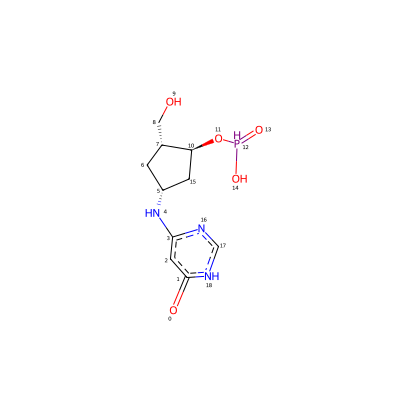 O=c1cc(N[C@@H]2C[C@H](CO)[C@@H](O[PH](=O)O)C2)nc[nH]1